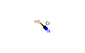 N#CS.[Cr]